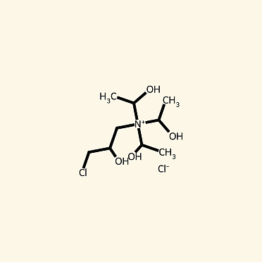 CC(O)[N+](CC(O)CCl)(C(C)O)C(C)O.[Cl-]